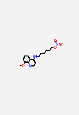 COc1cccc2c(NCCCCCCO[N+](=O)[O-])ccnc12